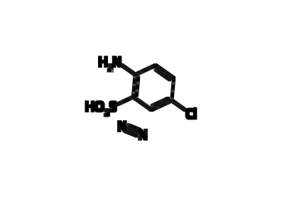 N#N.Nc1ccc(Cl)cc1S(=O)(=O)O